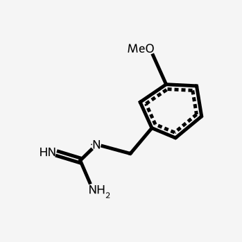 COc1cccc(C[N]C(=N)N)c1